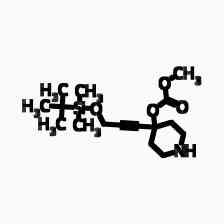 COC(=O)OC1(C#CCO[Si](C)(C)C(C)(C)C)CCNCC1